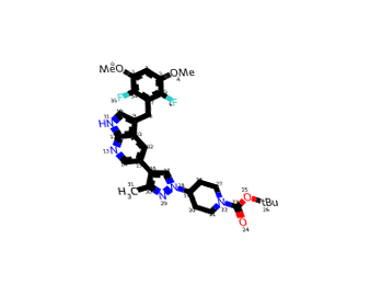 COc1cc(OC)c(F)c(Cc2c[nH]c3ncc(-c4cn(C5CCN(C(=O)OC(C)(C)C)CC5)nc4C)cc23)c1F